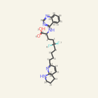 O=C(O)C(CCC(F)(F)CCCCc1ccc2c(n1)NCCC2)Nc1ncnc2ccccc12